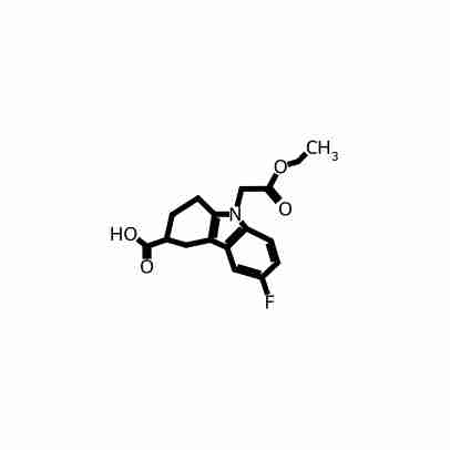 CCOC(=O)Cn1c2c(c3cc(F)ccc31)CC(C(=O)O)CC2